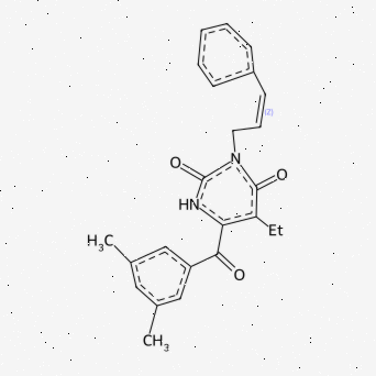 CCc1c(C(=O)c2cc(C)cc(C)c2)[nH]c(=O)n(C/C=C\c2ccccc2)c1=O